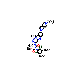 COc1cc(OC)c(Cl)c(N(C(=O)OC(C)(C)C)C(=O)N(C)c2cc(Nc3ccc(N4CCC5(CCN(C(=O)O)CC5)C4)cc3[N+](=O)[O-])ncn2)c1Cl